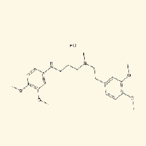 COc1ccc(CCN(C)CCCNc2ccc(OC)c(OC)c2)cc1OC.Cl